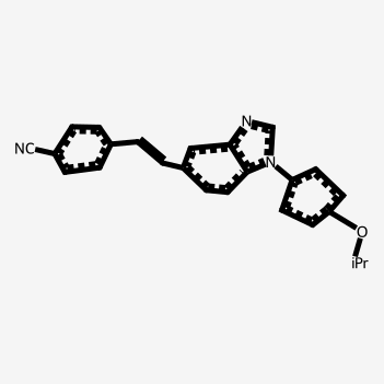 CC(C)Oc1ccc(-n2cnc3cc(C=Cc4ccc(C#N)cc4)ccc32)cc1